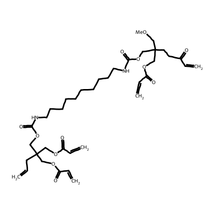 C=CCC(COC(=O)C=C)(COC(=O)C=C)COC(=O)NCCCCCCCCCCNC(=O)OCC(CCC(=O)C=C)(COC)COC(=O)C=C